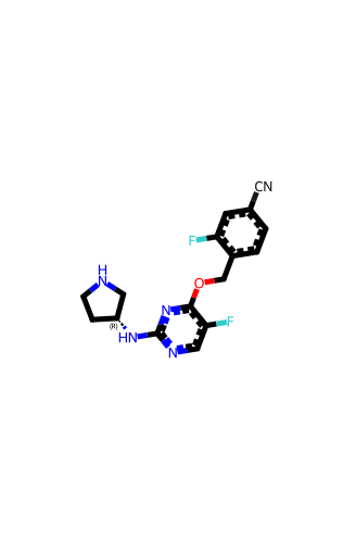 N#Cc1ccc(COc2nc(N[C@@H]3CCNC3)ncc2F)c(F)c1